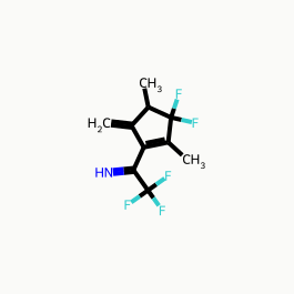 C=C1C(C(=N)C(F)(F)F)=C(C)C(F)(F)C1C